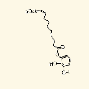 CCCCCCCC/C=C\CCCCCCCC(=O)Oc1cccc(O)c1O